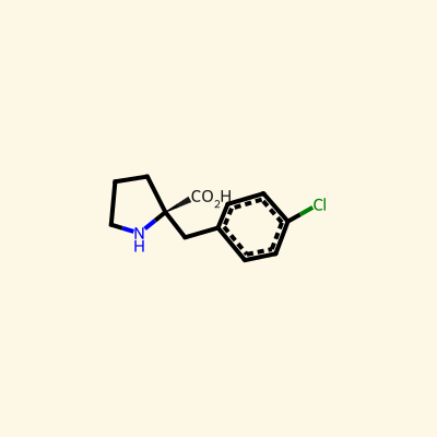 O=C(O)[C@]1(Cc2ccc(Cl)cc2)CCCN1